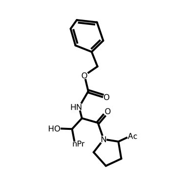 CCCC(O)C(NC(=O)OCc1ccccc1)C(=O)N1CCCC1C(C)=O